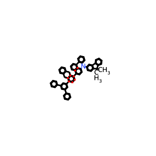 CC1(C)c2ccccc2-c2cc(N(c3ccc(-c4ccc(-c5cc(-c6ccccc6)cc(-c6ccccc6)c5)c5c4C4c6ccccc6C5c5ccccc54)cc3)c3ccccc3-c3ccccc3)ccc21